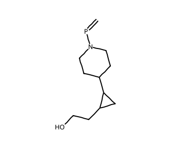 C=PN1CCC(C2CC2CCO)CC1